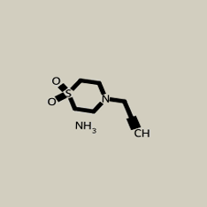 C#CCN1CCS(=O)(=O)CC1.N